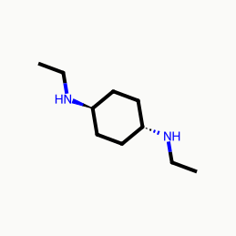 CCN[C@H]1CC[C@H](NCC)CC1